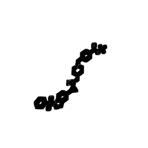 CC(C)(C)OC(=O)c1ccc(CN2CCC(CNC3CC3c3ccc4c(c3)CCN4S(=O)(=O)c3ccccc3)CC2)cc1